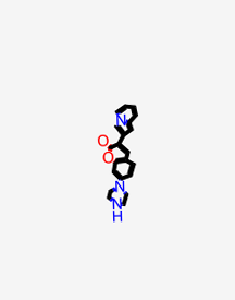 O=c1oc2cc(N3CCNCC3)ccc2cc1-c1cc2ccccn2c1